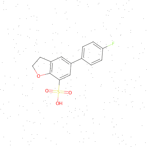 O=S(=O)(O)c1cc(-c2ccc(F)cc2)cc2c1OCC2